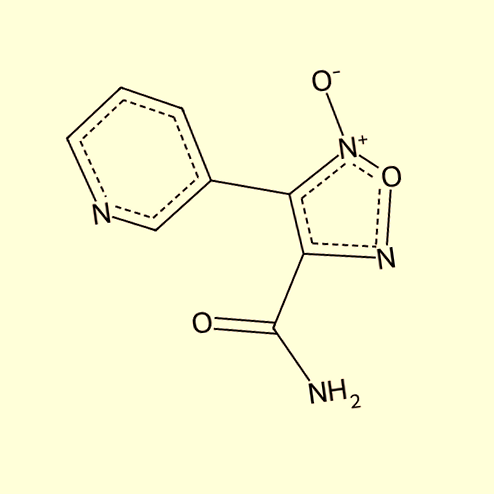 NC(=O)c1no[n+]([O-])c1-c1cccnc1